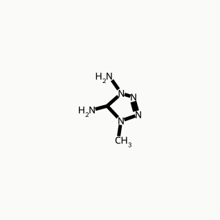 CN1N=NN(N)C1N